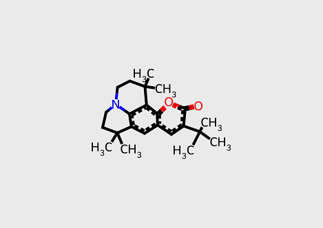 CC(C)(C)c1cc2cc3c4c(c2oc1=O)C(C)(C)CCN4CCC3(C)C